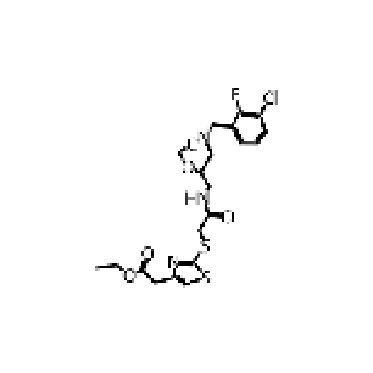 CCOC(=O)Cc1csc(SCC(=O)NCC2CN(Cc3cccc(Cl)c3F)CCO2)n1